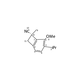 COc1c(C(C)C)ccc2c1[C@@](C)(C#N)C2